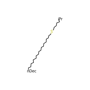 [CH2]CCCCCCCCCCCCCCCCCCCCCCCCCCCSCCCCCC(C)C